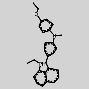 CCOc1ccc(N(C)c2ccc(C3=[PH](CC)c4cccc5cccc3c45)cc2)cc1